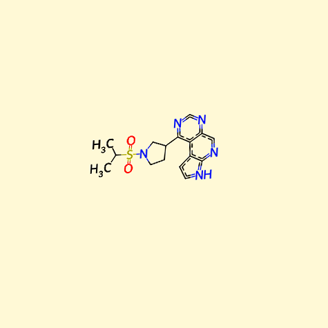 CC(C)S(=O)(=O)N1CCC(c2ncnc3cnc4[nH]ccc4c23)C1